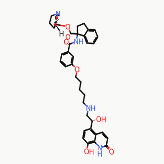 O=C(NC1(C(=O)O[C@H]2CN3CCC2CC3)CCc2ccccc21)c1cccc(OCCCCCNC[C@H](O)c2ccc(O)c3[nH]c(=O)ccc23)c1